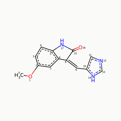 COc1ccc2c(c1)/C(=C/c1cnc[nH]1)C(=O)N2